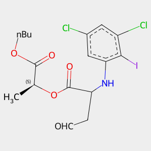 CCCCOC(=O)[C@H](C)OC(=O)C(CC=O)Nc1cc(Cl)cc(Cl)c1I